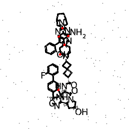 CC(C)(C)[C@H](NC(=O)[C@H]1CC2(C1)C[C@H](N1CCC(c3cnc(N4C5CCC4CN(c4cc(-c6ccccc6O)nnc4N)C5)nc3)CC1)C2)C(=O)N1C[C@H](O)C[C@H]1C1=NO[C@@](C)(c2ccc(-c3ccccc3F)cc2)N1